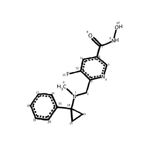 CN(Cc1ncc(C(=O)NO)cc1F)C1(c2ccccc2)CC1